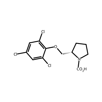 O=C(O)N1CCC[C@H]1COc1c(Cl)cc(Cl)cc1Cl